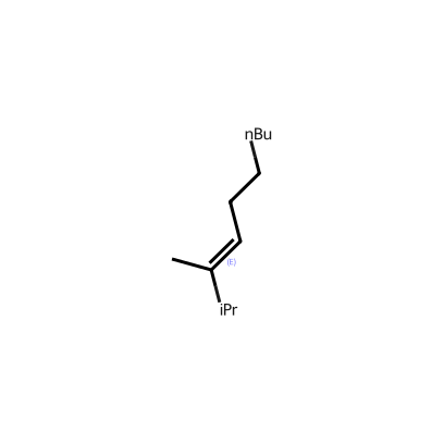 CCCCCC/C=C(\C)C(C)C